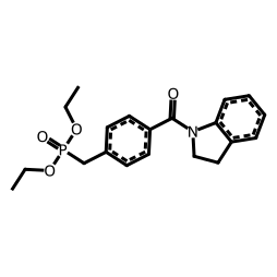 CCOP(=O)(Cc1ccc(C(=O)N2CCc3ccccc32)cc1)OCC